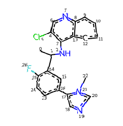 CC(Nc1c(Cl)cnc2ccccc12)c1cc(-c2cncn2C)ccc1F